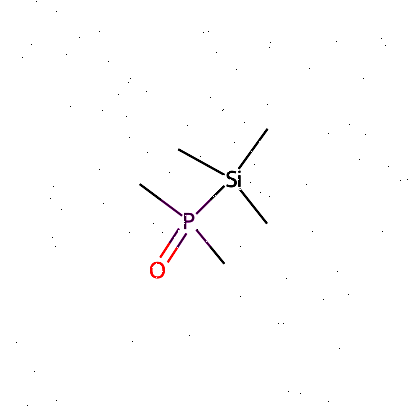 C[Si](C)(C)P(C)(C)=O